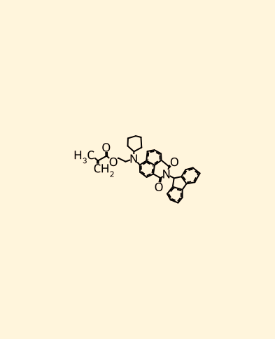 C=C(C)C(=O)OCCN(c1ccc2c3c(cccc13)C(=O)N(C1c3ccccc3-c3ccccc31)C2=O)C1CCCCC1